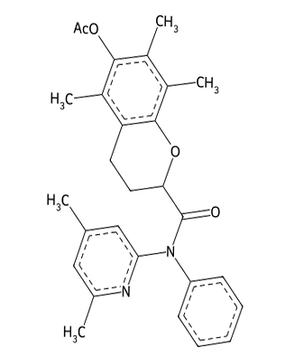 CC(=O)Oc1c(C)c(C)c2c(c1C)CCC(C(=O)N(c1ccccc1)c1cc(C)cc(C)n1)O2